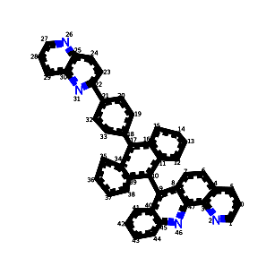 c1cnc2c(c1)ccc1c(-c3c4ccccc4c(-c4ccc(-c5ccc6ncccc6n5)cc4)c4ccccc34)c3ccccc3nc12